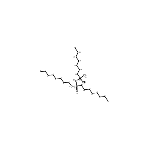 CCCCCCCC[O][Ti](=[O])([CH2]CCCCCCC)[O]C(O)(O)CCCCCCC